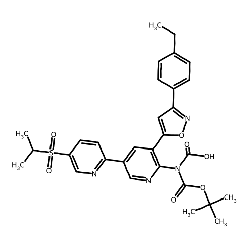 CCc1ccc(-c2cc(-c3cc(-c4ccc(S(=O)(=O)C(C)C)cn4)cnc3N(C(=O)O)C(=O)OC(C)(C)C)on2)cc1